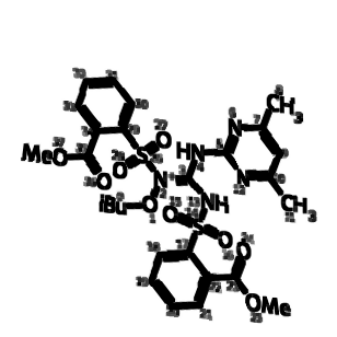 CCC(C)O[N+](=C(Nc1nc(C)cc(C)n1)NS(=O)(=O)c1ccccc1C(=O)OC)S(=O)(=O)c1ccccc1C(=O)OC